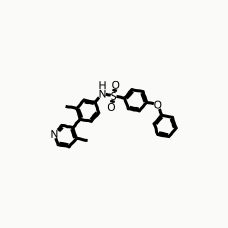 Cc1cc(NS(=O)(=O)c2ccc(Oc3ccccc3)cc2)ccc1-c1cnccc1C